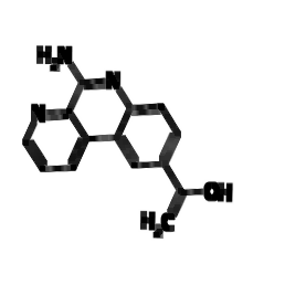 C=C(O)c1ccc2nc(N)c3ncccc3c2c1